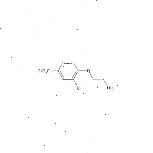 CCOC(=O)c1ccc(OCCN)c(Cl)c1